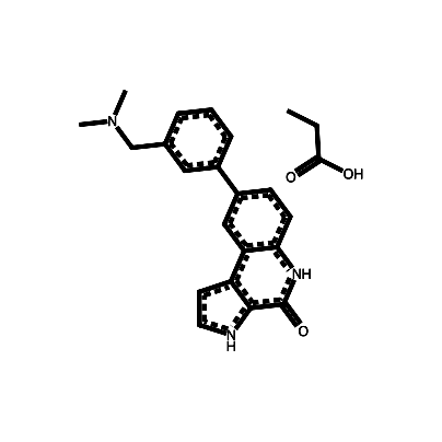 CCC(=O)O.CN(C)Cc1cccc(-c2ccc3[nH]c(=O)c4[nH]ccc4c3c2)c1